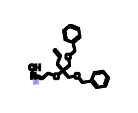 C=CCC(COCc1ccccc1)(COCc1ccccc1)OC/C=N\O